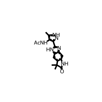 CC(=O)Nc1c(-c2nc3cc4c(cc3[nH]2)C(C)(C)C(=O)N4)n[nH]c1C